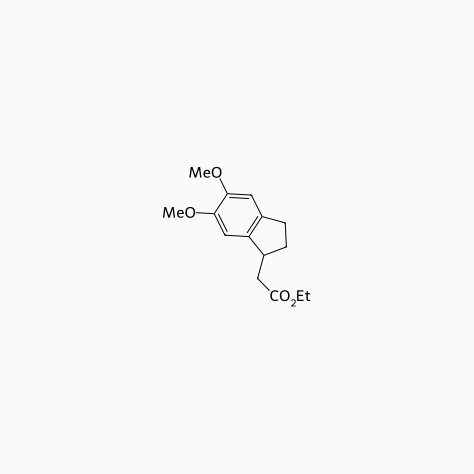 CCOC(=O)CC1CCc2cc(OC)c(OC)cc21